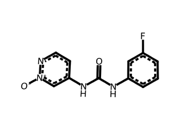 O=C(Nc1cccc(F)c1)Nc1ccn[n+]([O-])c1